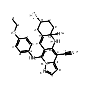 CCOc1ccc(Nc2c3c(c(C#N)c4ccnn24)N[C@H]2CC[C@H](N)CC2=C3)cc1